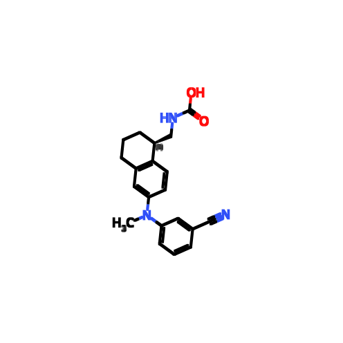 CN(c1cccc(C#N)c1)c1ccc2c(c1)CCC[C@H]2CNC(=O)O